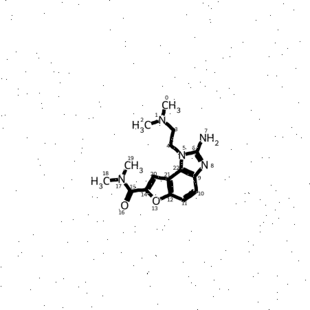 CN(C)CCn1c(N)nc2ccc3oc(C(=O)N(C)C)cc3c21